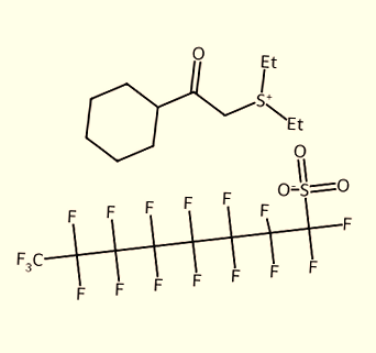 CC[S+](CC)CC(=O)C1CCCCC1.O=S(=O)([O-])C(F)(F)C(F)(F)C(F)(F)C(F)(F)C(F)(F)C(F)(F)C(F)(F)C(F)(F)F